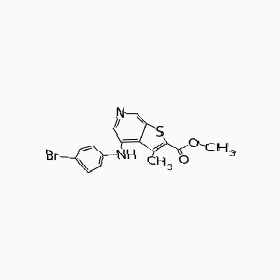 COC(=O)c1sc2cncc(Nc3ccc(Br)cc3)c2c1C